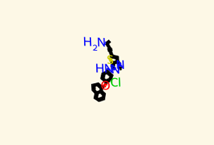 CC(N)C#Cc1cc2ncnc(Nc3ccc(Oc4cccc5ccccc45)c(Cl)c3)c2s1